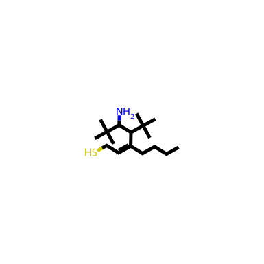 CCCC/C(=C/CS)C(C(N)C(C)(C)C)C(C)(C)C